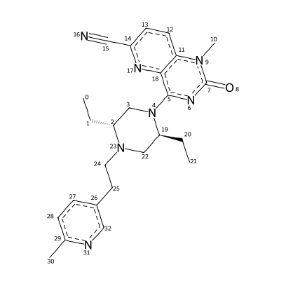 CC[C@@H]1CN(c2nc(=O)n(C)c3ccc(C#N)nc23)[C@@H](CC)CN1CCc1ccc(C)nc1